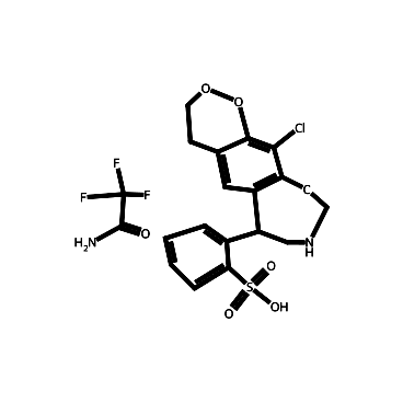 NC(=O)C(F)(F)F.O=S(=O)(O)c1ccccc1C1CNCCc2c1cc1c(c2Cl)OOCC1